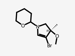 CO[C@]1(C)CN(C2CCCCO2)C=C1Br